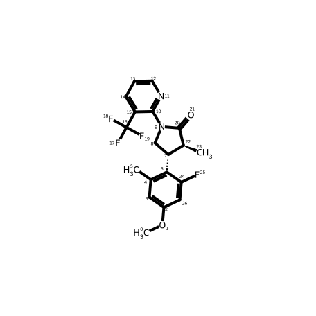 COc1cc(C)c([C@@H]2CN(c3ncccc3C(F)(F)F)C(=O)[C@H]2C)c(F)c1